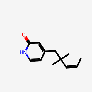 C/C=C\C(C)(C)Cc1cc[nH]c(=O)c1